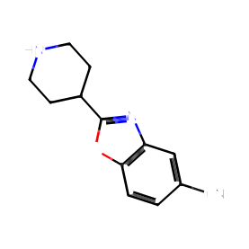 N#Cc1ccc2oc(C3CCNCC3)nc2c1